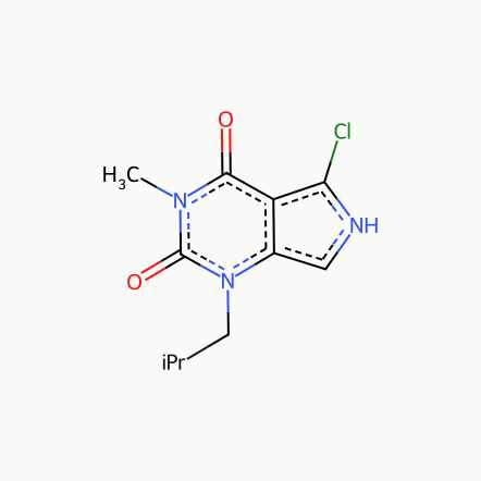 CC(C)Cn1c(=O)n(C)c(=O)c2c(Cl)[nH]cc21